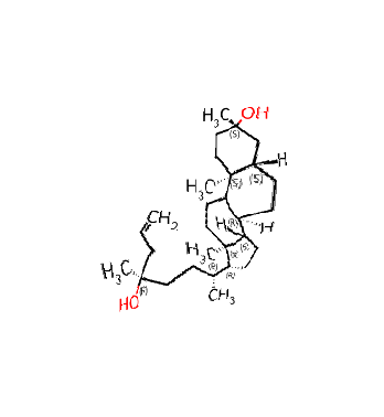 C=CC[C@](C)(O)CC[C@@H](C)[C@H]1CC[C@H]2[C@@H]3CC[C@H]4C[C@@](C)(O)CC[C@]4(C)C3CC[C@]12C